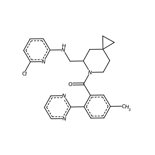 Cc1ccc(-c2ncccn2)c(C(=O)N2CCC3(CC3)CC2CNc2cccc(Cl)n2)c1